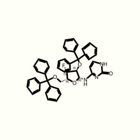 O=c1nc(N[C@@H]2O[C@H](COC(c3ccccc3)(c3ccccc3)c3ccccc3)[C@H](F)[C@H]2OC(c2ccccc2)(c2ccccc2)c2ccccc2)cc[nH]1